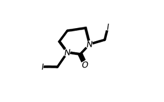 O=C1N(CI)CCCN1CI